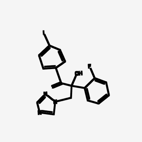 C=C(c1ccc(I)cc1)C(O)(Cn1cncn1)c1ccccc1F